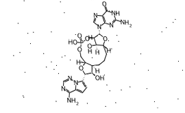 Nc1nc2c(ncn2[C@@H]2O[C@@H]3CCC[C@H]4[C@@H](O)[C@H](c5ccc6c(N)ncnn56)O[C@@H]4COP(=O)(O)O[C@@H]2[C@@H]3O)c(=O)[nH]1